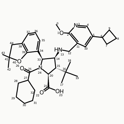 COc1ncc(C2CCC2)cc1CN[C@H]1[C@H](C(C)(C)C)[C@@H](C(=O)O)N(C(=O)C2CCCCC2)[C@H]1c1cccc2c1OC(C)(C)C2